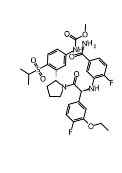 CCOc1cc([C@H](Nc2cc(C(N)=O)ccc2F)C(=O)N2CCC[C@@H]2c2cc(NC(=O)OC)ccc2S(=O)(=O)C(C)C)ccc1F